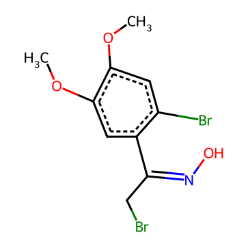 COc1cc(Br)c(/C(CBr)=N\O)cc1OC